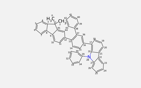 CC1(C)c2ccccc2-c2ccc(-c3ccc(-c4cccc5c6ccccc6n(-c6ccccc6)c45)cc3-c3ccccc3)cc21